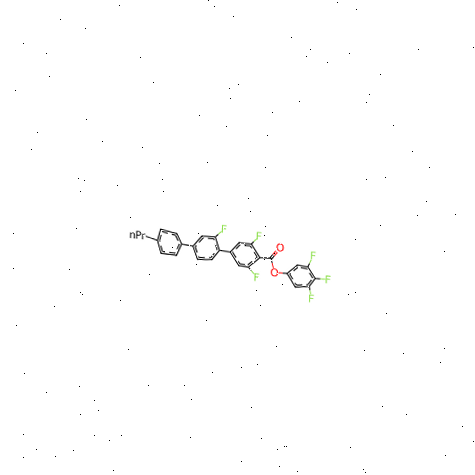 CCCc1ccc(-c2ccc(-c3cc(F)c(C(=O)Oc4cc(F)c(F)c(F)c4)c(F)c3)c(F)c2)cc1